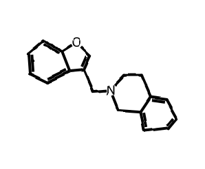 c1ccc2c(c1)CCN(Cc1coc3ccccc13)C2